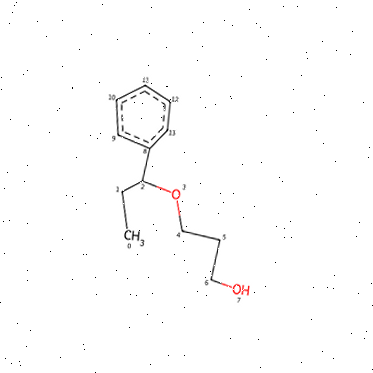 CCC(OCCCO)c1ccccc1